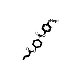 CC=CC(=O)O[C@H]1CC[C@H](C(=O)Oc2ccc(CCCCCCC)cc2)CC1